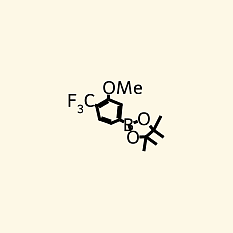 COc1cc(B2OC(C)(C)C(C)(C)O2)ccc1C(F)(F)F